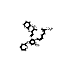 CCCC[C@@H](C)[C@H](/C=C/[C@@H]1[C@@H](C/C=C\CCC(C)C(=O)O)[C@@H](O)C[C@H]1OC1CCCCO1)OC1CCCCO1